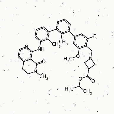 COc1cc(-c2cccc(-c3cccc(Nc4nccc5c4C(=O)N(C)CC5)c3C)c2C)cc(F)c1CN1CC(C(=O)OC(C)C)C1